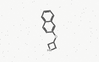 c1ccc2cc(OC3CNC3)ccc2c1